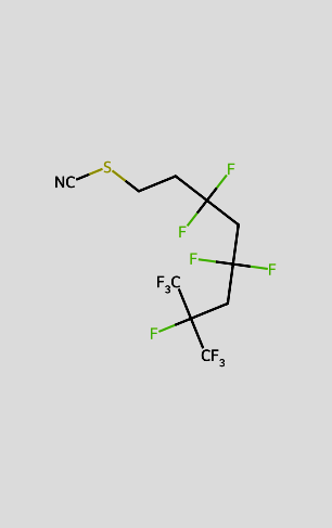 N#CSCCC(F)(F)CC(F)(F)CC(F)(C(F)(F)F)C(F)(F)F